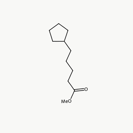 COC(=O)CCCCC1CCCC1